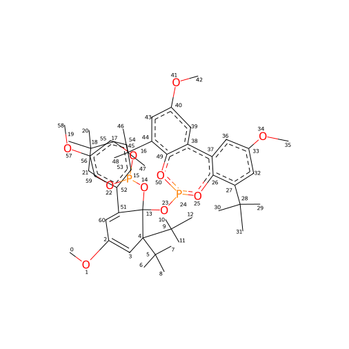 COC1=CC(C(C)(C)C)(C(C)(C)C)C(OP2OCC(C)(C)CO2)(Op2oc3c(C(C)(C)C)cc(OC)cc3c3cc(OC)cc(C(C)(C)C)c3o2)C(c2cccc(OC)c2)=C1